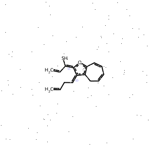 C=CC/C=c1/c2c(o/c1=C(\S)C=C)C=CC=CC2